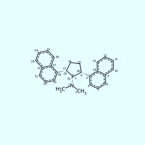 CN(C)[P@@]1[C@@H](c2cccc3ccccc23)CC[C@H]1c1cccc2ccccc12